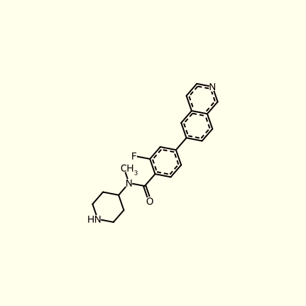 CN(C(=O)c1ccc(-c2ccc3cnccc3c2)cc1F)C1CCNCC1